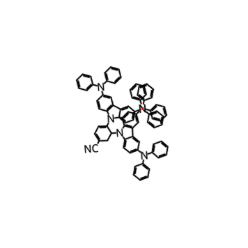 N#CC1=CC=C(n2c3ccc(N(c4ccccc4)c4ccccc4)cc3c3cc(N(c4ccccc4)c4ccccc4)ccc32)C(n2c3ccc(N(c4ccccc4)c4ccccc4)cc3c3cc(N(c4ccccc4)c4ccccc4)ccc32)C1